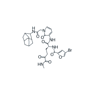 CNC(=O)C(=O)CC[C@H](NC(=O)c1cc(Br)co1)C(=O)Nc1cccn(CC(=O)NC2C3CC4CC(C3)CC2C4)c1=O